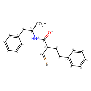 O=C(N[C@@H](Cc1ccccc1)C(=O)O)C(C=S)CCc1ccccc1